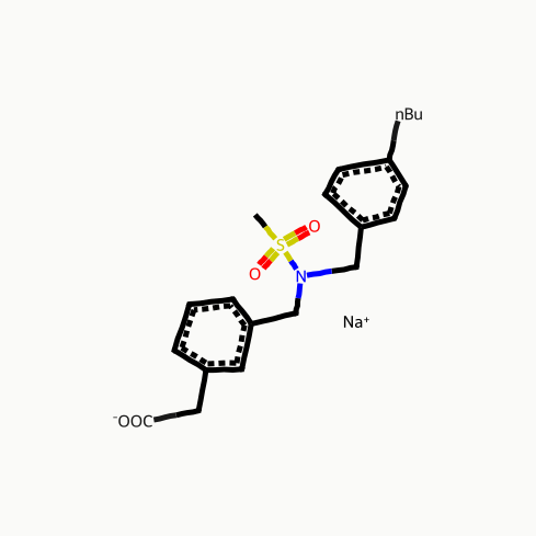 CCCCc1ccc(CN(Cc2cccc(CC(=O)[O-])c2)S(C)(=O)=O)cc1.[Na+]